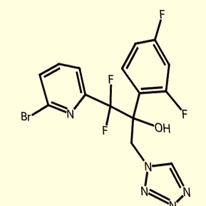 OC(Cn1cnnn1)(c1ccc(F)cc1F)C(F)(F)c1cccc(Br)n1